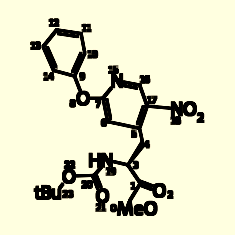 COC(=O)[C@H](Cc1cc(Oc2ccccc2)ncc1[N+](=O)[O-])NC(=O)OC(C)(C)C